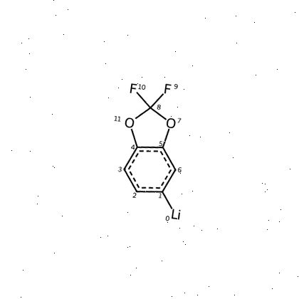 [Li][c]1ccc2c(c1)OC(F)(F)O2